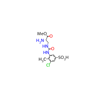 COC(=O)[C@@H](N)CNC(=O)Nc1cc(S(=O)(=O)O)cc(Cl)c1C